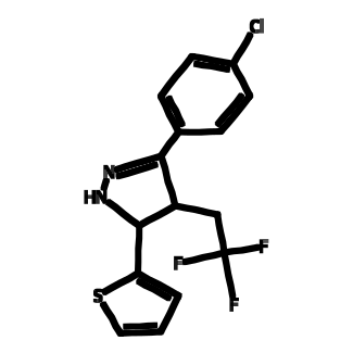 FC(F)(F)CC1C(c2ccc(Cl)cc2)=NNC1c1cccs1